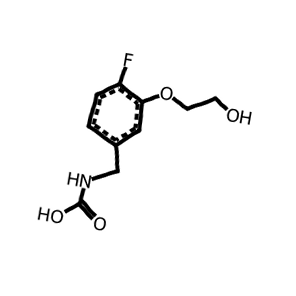 O=C(O)NCc1ccc(F)c(OCCO)c1